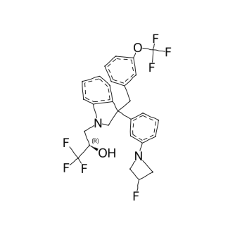 O[C@H](CN1CC(Cc2cccc(OC(F)(F)F)c2)(c2cccc(N3CC(F)C3)c2)c2ccccc21)C(F)(F)F